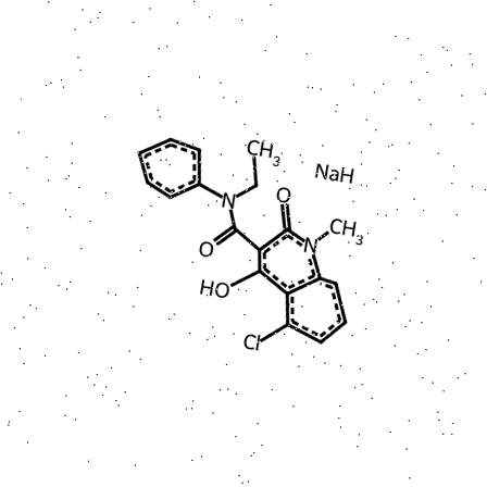 CCN(C(=O)c1c(O)c2c(Cl)cccc2n(C)c1=O)c1ccccc1.[NaH]